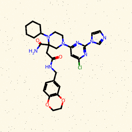 NC(=O)C1(CC(=O)NCc2ccc3c(c2)OCCO3)CN(c2cc(Cl)nc(-n3ccnc3)n2)CCN1C1CCCCC1